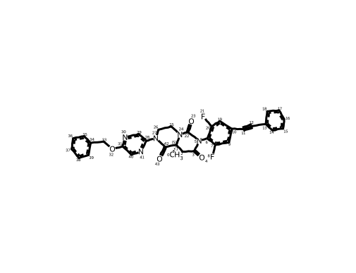 C[C@@]12CC(=O)N(c3c(F)cc(C#Cc4ccccc4)cc3F)C(=O)N1CCN(c1cnc(OCc3ccccc3)cn1)C2=O